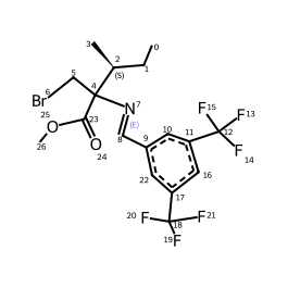 CC[C@H](C)C(CBr)(/N=C/c1cc(C(F)(F)F)cc(C(F)(F)F)c1)C(=O)OC